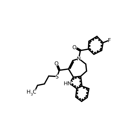 CCCCSC(=O)C1=CN(C(=O)c2ccc(F)cc2)CCc2c1[nH]c1ccccc21